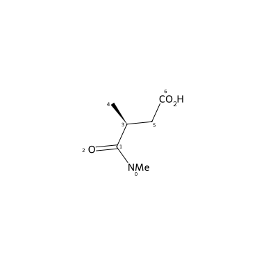 CNC(=O)[C@@H](C)CC(=O)O